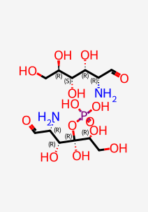 N[C@@H](C=O)[C@@H](O)[C@@](O)(OP(=O)(O)O)[C@H](O)CO.N[C@@H](C=O)[C@@H](O)[C@H](O)[C@H](O)CO